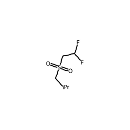 CC(C)CS(=O)(=O)CC(F)F